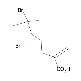 C=C(CCC(Br)C(C)(C)Br)C(=O)O